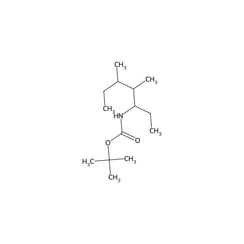 CCC(C)C(C)C(CC)NC(=O)OC(C)(C)C